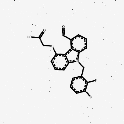 O=Cc1cccc2c1c1c(OCC(=O)O)cccc1n2Cc1cccc(F)c1F